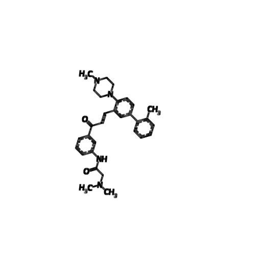 Cc1ccccc1-c1ccc(N2CCN(C)CC2)c(C=CC(=O)c2cccc(NC(=O)CN(C)C)c2)c1